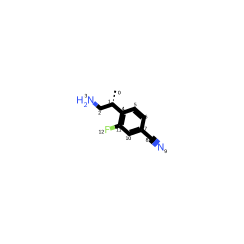 C[C@@H](CN)c1ccc(C#N)cc1F